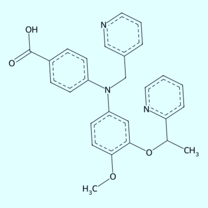 COc1ccc(N(Cc2cccnc2)c2ccc(C(=O)O)cc2)cc1OC(C)c1ccccn1